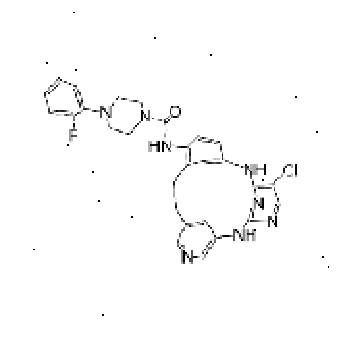 O=C(Nc1ccc2cc1CCc1cncc(c1)Nc1ncc(Cl)c(n1)N2)N1CCN(c2ccccc2F)CC1